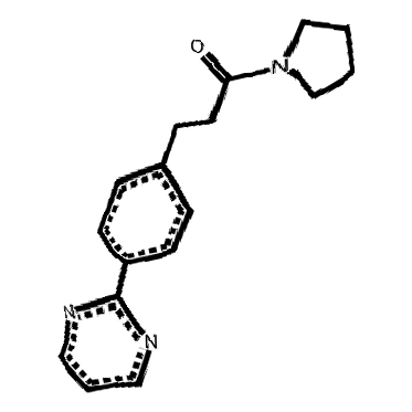 O=C(CCc1ccc(-c2ncccn2)cc1)N1CCCC1